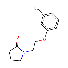 CCc1cccc(OCCN2CCCC2=O)c1